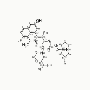 CCc1c(F)ccc2cc(O)cc(-c3ncc4c(N5CCOC(C(F)F)C5)nc(OC[C@@]56CCCN5C[C@H](F)C6)nc4c3F)c12